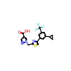 O=C(O)c1cnn(Cc2nc(-c3cc(C4CC4)cc(C(F)(F)F)c3)cs2)c1